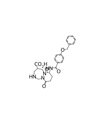 O=C(NC1CCC(=O)N2CNCC(C(=O)O)C[N+]12[O-])c1ccc(OCc2ccccc2)cc1